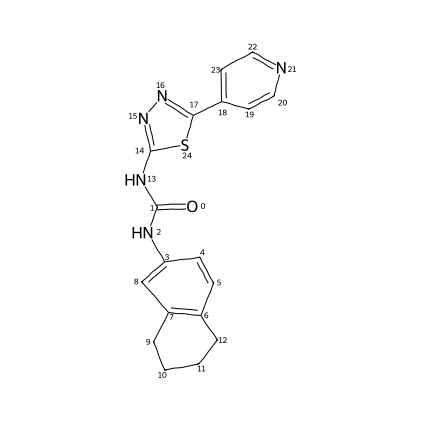 O=C(Nc1ccc2c(c1)CCCC2)Nc1nnc(-c2ccncc2)s1